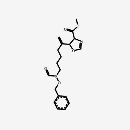 C=C(CCCCN(C=O)OCc1ccccc1)C1OC=NC1C(=O)OC